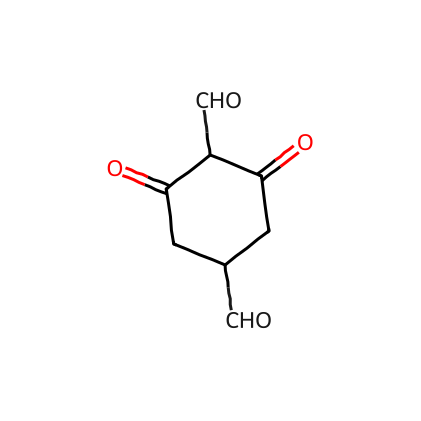 O=CC1CC(=O)C(C=O)C(=O)C1